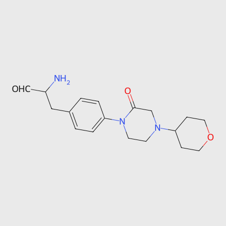 NC(C=O)Cc1ccc(N2CCN(C3CCOCC3)CC2=O)cc1